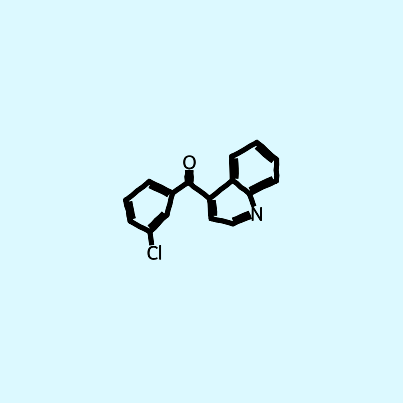 O=C(c1cccc(Cl)c1)c1ccnc2ccccc12